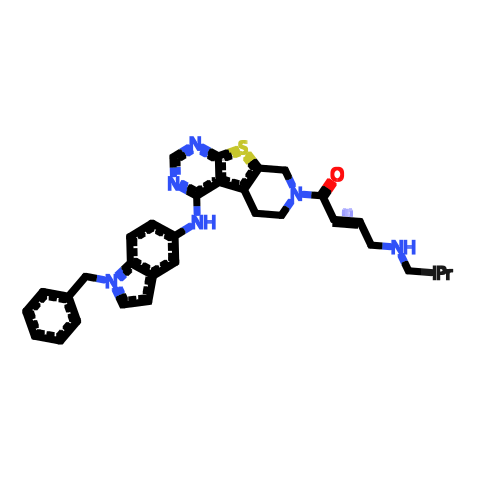 CC(C)CNC/C=C/C(=O)N1CCc2c(sc3ncnc(Nc4ccc5c(ccn5Cc5ccccc5)c4)c23)C1